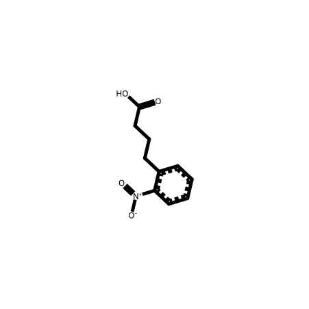 O=C(O)CCCc1ccccc1[N+](=O)[O-]